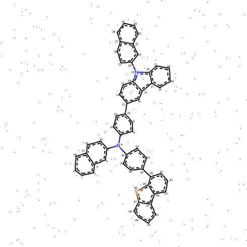 c1ccc2cc(N(c3ccc(-c4ccc5c(c4)c4ccccc4n5-c4ccc5ccccc5c4)cc3)c3ccc(-c4cccc5c4sc4ccccc45)cc3)ccc2c1